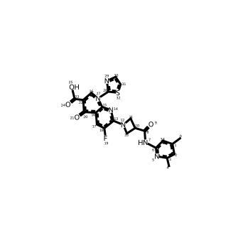 Cc1cc(C)nc(NC(=O)C2CN(c3nc4c(cc3F)c(=O)c(C(=O)O)cn4-c3nccs3)C2)c1